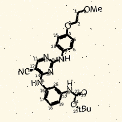 COCCOc1ccc(Nc2ncc(C#N)c(Nc3cccc(NC(=O)OC(C)(C)C)c3)n2)cc1